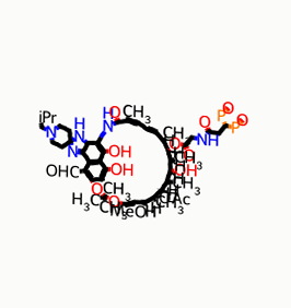 CO[C@H]1/C=C/OC(C)(C)Oc2c(C)c(O)c3c(c2C=O)C2=NC4(CCN(CC(C)C)CC4)NC2C(=C3O)NC(=O)/C(C)=C\C=C\[C@H](C)[C@H](OC(=O)CNC(=O)CC(P=O)P=O)[C@@H](C)[C@@H](O)[C@@H](C)[C@H](OC(C)=O)[C@@H]1C